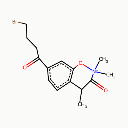 CC1C(=O)[N+](C)(C)Oc2cc(C(=O)CCCBr)ccc21